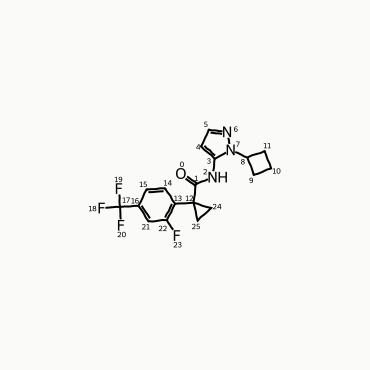 O=C(Nc1ccnn1C1CCC1)C1(c2ccc(C(F)(F)F)cc2F)CC1